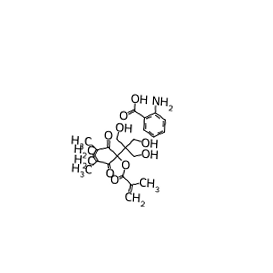 C=C(C)C(=O)OC(C(=O)C(=C)C)(C(=O)C(=C)C)C(CO)(CO)CO.Nc1ccccc1C(=O)O